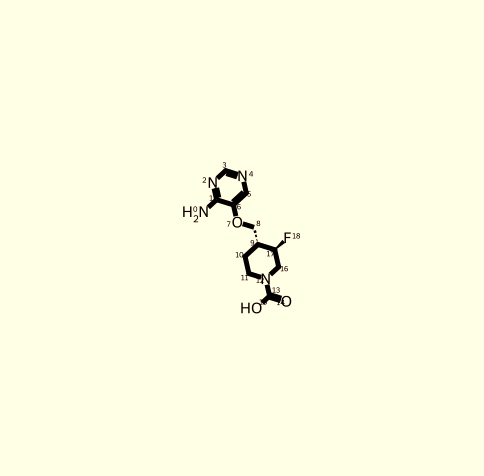 Nc1ncncc1OC[C@H]1CCN(C(=O)O)C[C@@H]1F